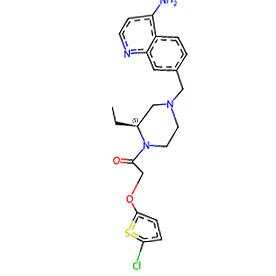 CC[C@H]1CN(Cc2ccc3c(N)ccnc3c2)CCN1C(=O)COc1ccc(Cl)s1